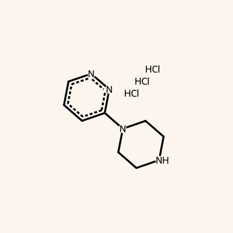 Cl.Cl.Cl.c1cnnc(N2CCNCC2)c1